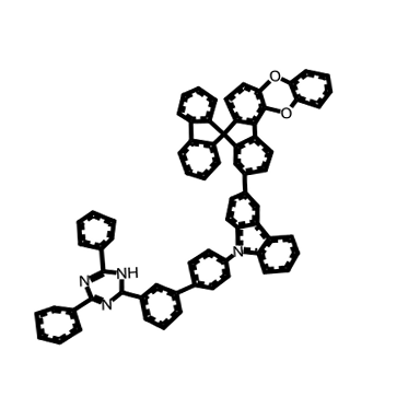 c1ccc(C2=NC(c3cccc(-c4ccc(-n5c6ccccc6c6cc(-c7ccc8c(c7)C7(c9ccccc9-c9ccccc97)c7ccc9c(c7-8)Oc7ccccc7O9)ccc65)cc4)c3)NC(c3ccccc3)=N2)cc1